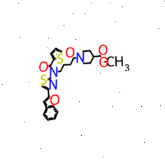 COC(=O)C1CCN(C(=O)CCCN(C(=O)c2cccs2)c2nc(-c3cc4ccccc4o3)cs2)CC1